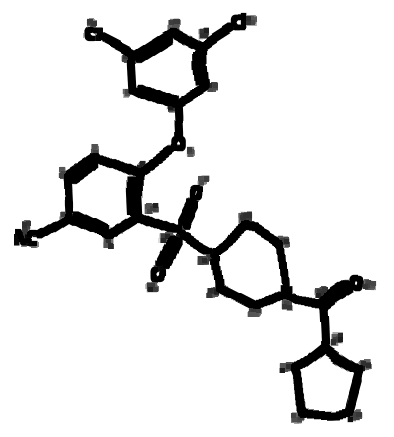 N#Cc1ccc(Oc2cc(Cl)cc(Cl)c2)c(S(=O)(=O)N2CCN(C(=O)C3CCCC3)CC2)c1